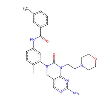 Cc1ccc(NC(=O)c2cccc(C(F)(F)F)c2)cc1N1Cc2cnc(N)nc2N(CCN2CCOCC2)C1=O